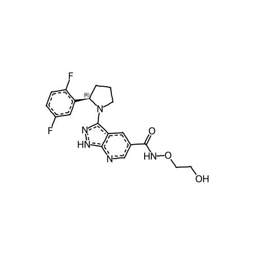 O=C(NOCCO)c1cnc2[nH]nc(N3CCC[C@@H]3c3cc(F)ccc3F)c2c1